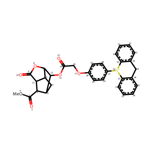 COC(=O)C1C2CC3C(OC(=O)C31)C2OC(=O)COc1ccc([S+]2c3ccccc3Cc3ccccc32)cc1